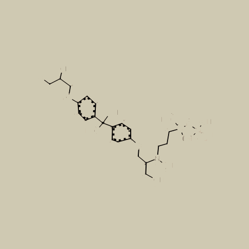 CC(CO)COc1ccc(C(C)(C)c2ccc(OCC(CO)N(C)CCC[Si](C)(C)O[Si](C)(C)C)cc2)cc1